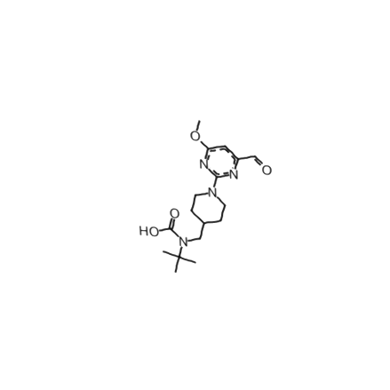 COc1cc(C=O)nc(N2CCC(CN(C(=O)O)C(C)(C)C)CC2)n1